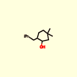 CC(C)CC1CCC(C)(C)CC1O